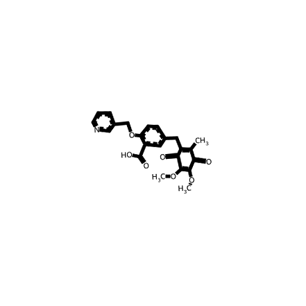 COC1=C(OC)C(=O)C(Cc2ccc(OCc3cccnc3)c(C(=O)O)c2)=C(C)C1=O